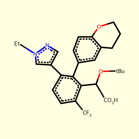 CCn1cc(-c2ccc(C(F)(F)F)c(C(OC(C)(C)C)C(=O)O)c2-c2ccc3c(c2)CCCO3)cn1